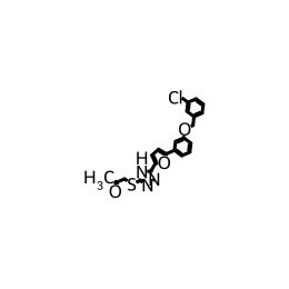 CC(=O)CSc1nnc(-c2ccc(-c3cccc(OCc4cccc(Cl)c4)c3)o2)[nH]1